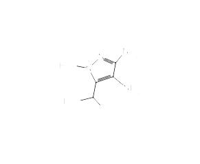 CC(C)c1c(N)c(N)nn1C